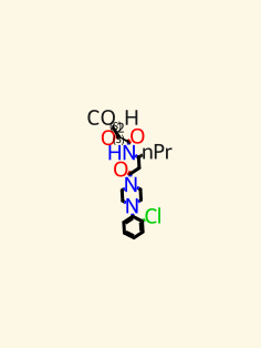 CCCC(CC(=O)N1CCN(c2ccccc2Cl)CC1)NC(=O)[C@H]1O[C@@H]1C(=O)O